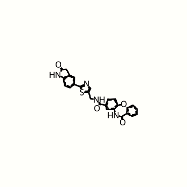 O=C1Cc2cc(-c3ncc(CNC(=O)c4ccc5c(c4)NC(=O)c4ccccc4O5)s3)ccc2N1